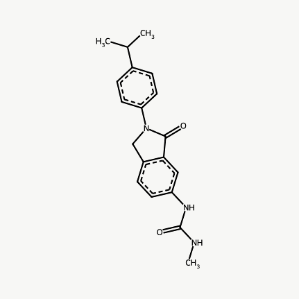 CNC(=O)Nc1ccc2c(c1)C(=O)N(c1ccc(C(C)C)cc1)C2